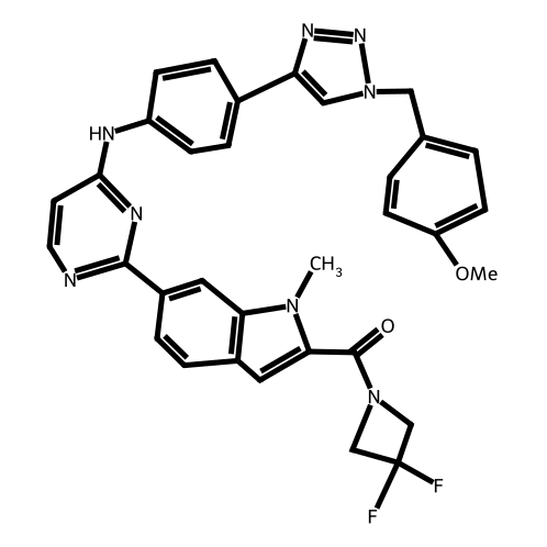 COc1ccc(Cn2cc(-c3ccc(Nc4ccnc(-c5ccc6cc(C(=O)N7CC(F)(F)C7)n(C)c6c5)n4)cc3)nn2)cc1